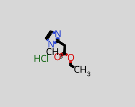 CCOC(=O)Cc1nccn1C.Cl